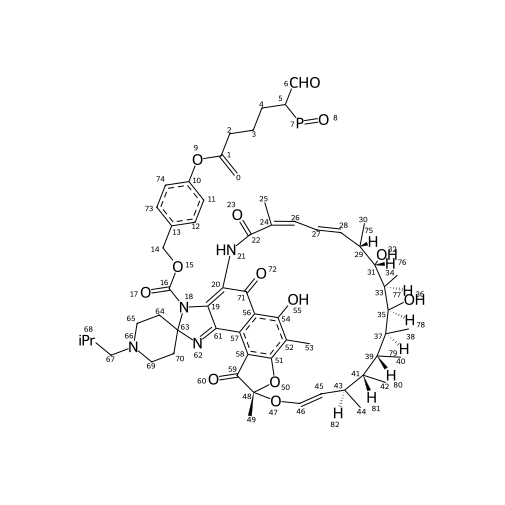 C=C(CCCC(C=O)P=O)Oc1ccc(COC(=O)N2C3=C4NC(=O)/C(C)=C\C=C\[C@H](C)[C@H](O)[C@@H](C)[C@@H](O)[C@@H](C)[C@H](C)[C@H](C)[C@@H](C)/C=C/O[C@@]5(C)Oc6c(C)c(O)c(c(c6C5=O)C3=NC23CCN(CC(C)C)CC3)C4=O)cc1